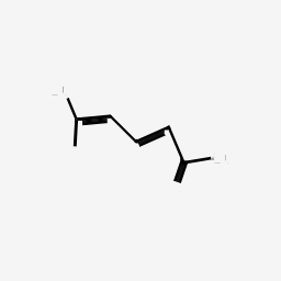 CCC(=O)C=CC=C(C)CC